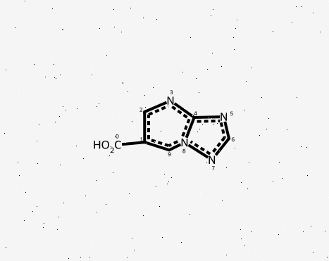 O=C(O)c1cnc2ncnn2c1